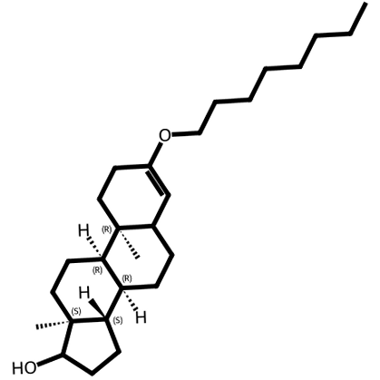 CCCCCCCCOC1=CC2CC[C@@H]3[C@@H](CC[C@]4(C)C(O)CC[C@@H]34)[C@@]2(C)CC1